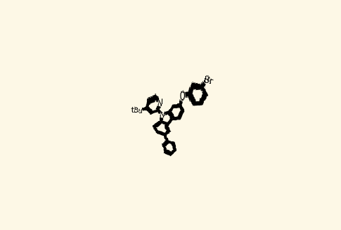 CC(C)(C)c1ccnc(-n2c3ccc(-c4ccccc4)cc3c3ccc(Oc4cccc(Br)c4)cc32)c1